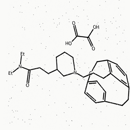 CCN(CC)C(=O)CCC1CCCN(CCCc2cc3ccc2CCc2ccc(cc2)CC3)C1.O=C(O)C(=O)O